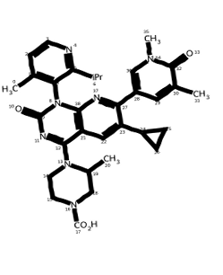 Cc1ccnc(C(C)C)c1-n1c(=O)nc(N2CCN(C(=O)O)CC2C)c2cc(C3CC3)c(-c3cc(C)c(=O)n(C)c3)nc21